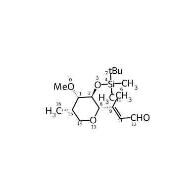 CO[C@@H]1[C@@H](O[Si](C)(C)C(C)(C)C)[C@H](/C(C)=C/C=O)OC[C@@H]1C